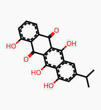 CC(C)c1cc(O)c2c(O)c3c(c(O)c2c1)C(=O)c1cccc(O)c1C3=O